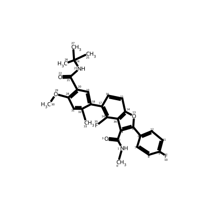 CNC(=O)c1c(-c2ccc(F)cc2)oc2ccc(-c3cc(C(=O)NC(C)(C)C)c(OC)cc3C)c(F)c12